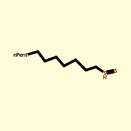 CCCCCCCCCCCC[SH]=S